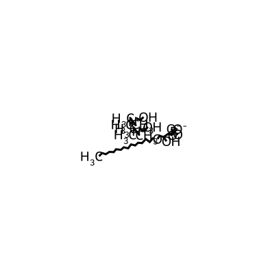 CCCCCCCCCCCCCCCCOCC(O)COP(=O)([O-])[O-].C[N+](C)(C)CCO.C[N+](C)(C)CCO